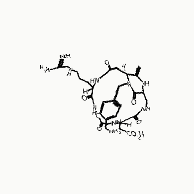 C=C1NC2CNC(=O)[C@H](CC(=O)O)NC(=O)CNC(=O)[C@H](CCCNC(=N)N)NC(=O)C[C@@H]1N(Cc1ccc(CN)cc1)C2=O